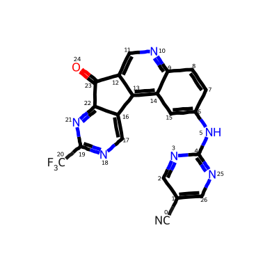 N#Cc1cnc(Nc2ccc3ncc4c(c3c2)-c2cnc(C(F)(F)F)nc2C4=O)nc1